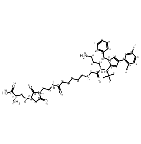 CC(C)(C)[C@H](c1cc(-c2cc(F)ccc2F)cn1Cc1ccccc1)N(CCCN)C(=O)CSCCCCCC(=O)NCCN1C(=O)C[C@@H](SC[C@H](N)C(=O)O)C1=O